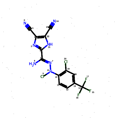 N#Cc1nc(C(N)=NN(Cl)c2ccc(C(F)(F)F)cc2Cl)[nH]c1C#N